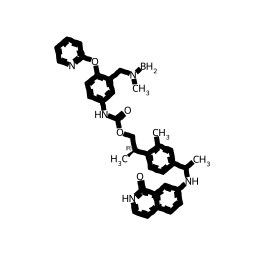 BN(C)Cc1cc(NC(=O)OC[C@H](C)c2ccc(C(C)Nc3ccc4cc[nH]c(=O)c4c3)cc2C)ccc1Oc1ccccn1